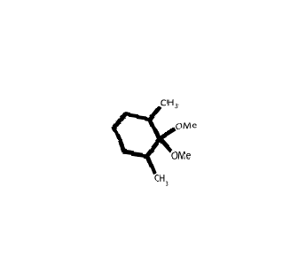 COC1(OC)C(C)CCCC1C